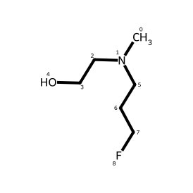 CN(CCO)CCCF